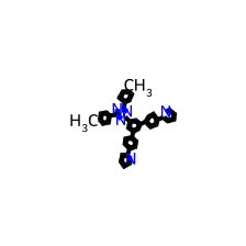 Cc1ccc(-c2nc(-c3ccc(C)cc3)nc(-c3cc(-c4ccc(-c5ccccn5)cc4)cc(-c4ccc(-c5ccccn5)cc4)c3)n2)cc1